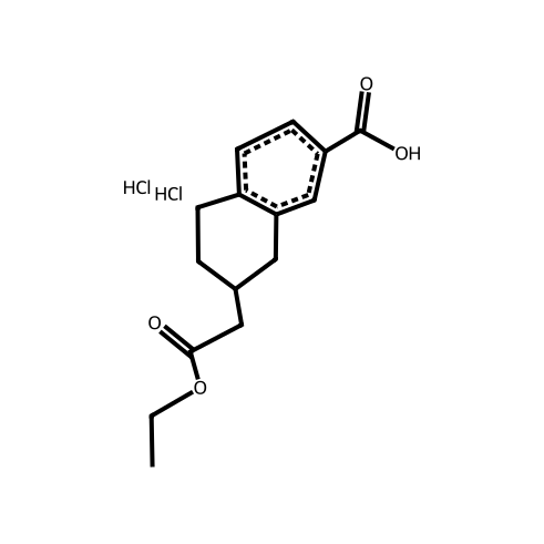 CCOC(=O)CC1CCc2ccc(C(=O)O)cc2C1.Cl.Cl